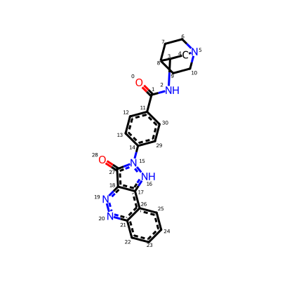 O=C(NC1CN2CCC1CC2)c1ccc(-n2[nH]c3c(nnc4ccccc43)c2=O)cc1